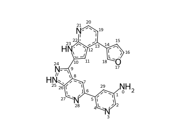 Nc1cncc(-c2cc3c(-c4cc5c(-c6ccoc6)ccnc5[nH]4)n[nH]c3cn2)c1